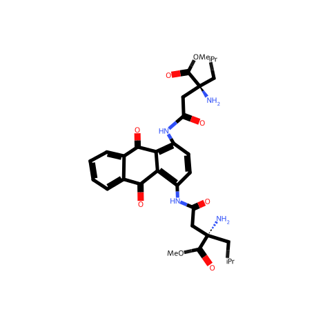 COC(=O)[C@@](N)(CC(=O)Nc1ccc(NC(=O)C[C@@](N)(CC(C)C)C(=O)OC)c2c1C(=O)c1ccccc1C2=O)CC(C)C